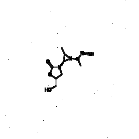 CC1[C@H](N2C[C@H](CO)OC2=O)N1N(C)N=N